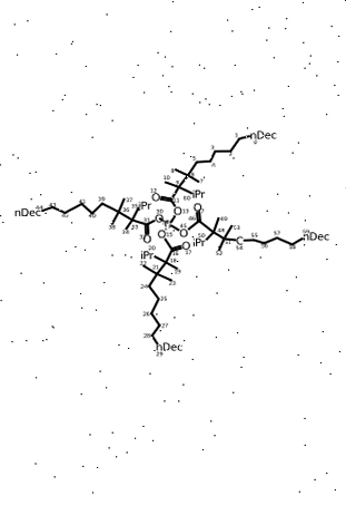 CCCCCCCCCCCCCCCC(C)(C)C(C)(C(=O)[O][Ti]([O]C(=O)C(C)(C(C)C)C(C)(C)CCCCCCCCCCCCCCC)([O]C(=O)C(C)(C(C)C)C(C)(C)CCCCCCCCCCCCCCC)[O]C(=O)C(C)(C(C)C)C(C)(C)CCCCCCCCCCCCCCC)C(C)C